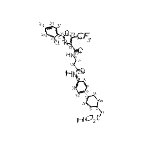 O=C(O)C[C@H]1CC[C@H](c2ccc(NC(=O)CCNC(=O)c3nc(-c4ccccc4Cl)oc3C(F)(F)F)cc2)CC1